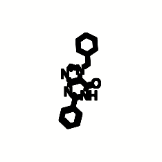 O=c1[nH]c(-c2ccccc2)nc2ncn(CC3CCCCC3)c12